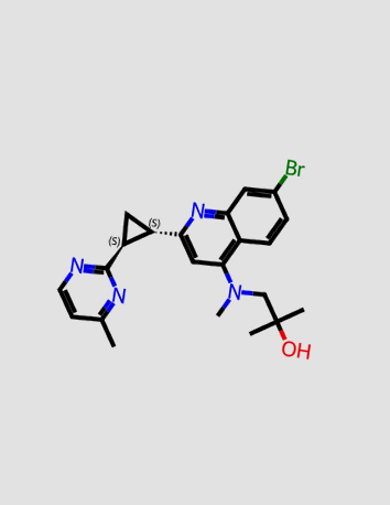 Cc1ccnc([C@H]2C[C@@H]2c2cc(N(C)CC(C)(C)O)c3ccc(Br)cc3n2)n1